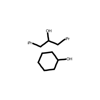 CC(C)CC(O)CC(C)C.OC1CCCCC1